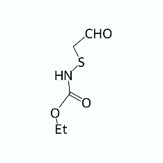 CCOC(=O)NSCC=O